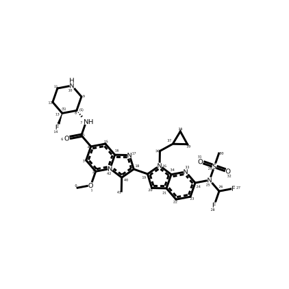 COc1cc(C(=O)N[C@H]2CNCC[C@@H]2F)cc2nc(-c3cc4ccc(N(C(F)F)S(C)(=O)=O)nc4n3CC3CC3)c(C)n12